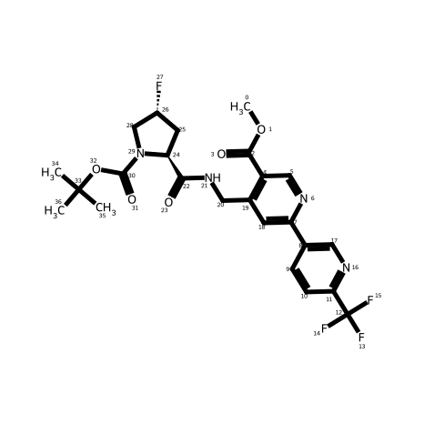 COC(=O)c1cnc(-c2ccc(C(F)(F)F)nc2)cc1CNC(=O)[C@@H]1C[C@@H](F)CN1C(=O)OC(C)(C)C